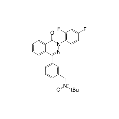 CC(C)(C)/[N+]([O-])=C/c1cccc(-c2nn(-c3ccc(F)cc3F)c(=O)c3ccccc23)c1